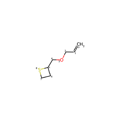 C=CCOCC1CCS1